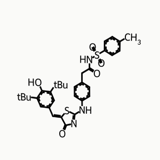 Cc1ccc(S(=O)(=O)NC(=O)Cc2ccc(NC3=NC(=O)C(=Cc4cc(C(C)(C)C)c(O)c(C(C)(C)C)c4)S3)cc2)cc1